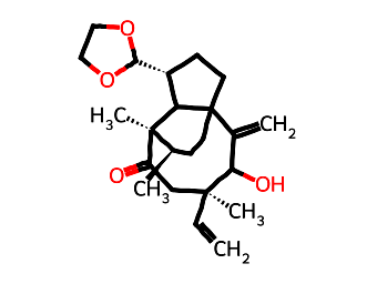 C=C[C@@]1(C)CC(=O)[C@@]2(C)C3[C@H](C4OCCO4)CCC3(CC[C@H]2C)C(=C)C1O